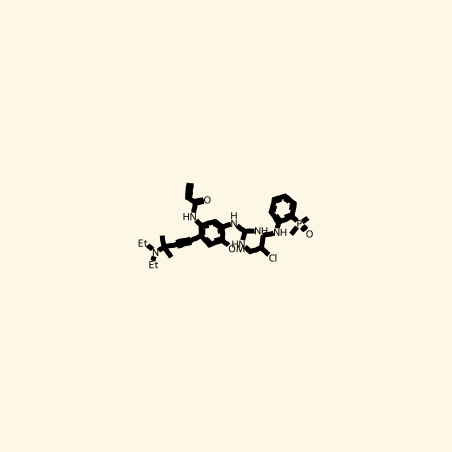 C=CC(=O)Nc1cc(NC2NCC(Cl)C(Nc3ccccc3P(C)(C)=O)N2)c(OC)cc1C#CC(C)(C)N(CC)CC